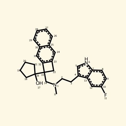 CN(CCc1c[nH]c2ccc(F)cc12)CC1(C2(O)CCCC2)Cc2cc3ccccc3cc21